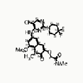 CNC(=O)COc1cc2cc(Nc3nc(N4CCC(F)(F)CC4)ncc3Cl)cc(OC)c2n(C)c1=O